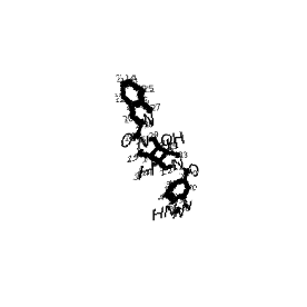 O=C(c1ccc2[nH]nnc2c1)N1C[C@@H]2C3CN(C(=O)c4cc5ccccc5cn4)CC3(O)[C@@H]2C1